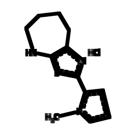 Cl.Cn1cccc1-c1nc2c(s1)NCCCC2